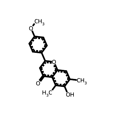 COc1ccc(-c2cc(=O)c3c(C)c(O)c(C)cc3o2)cc1